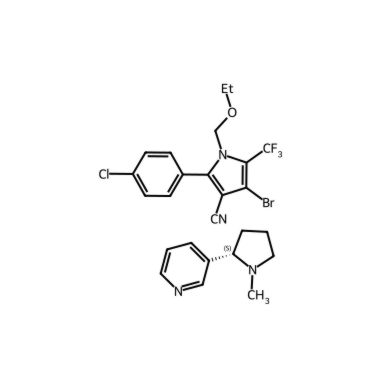 CCOCn1c(-c2ccc(Cl)cc2)c(C#N)c(Br)c1C(F)(F)F.CN1CCC[C@H]1c1cccnc1